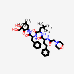 CC(C)CC(NC(=O)C(Cc1ccccc1)NC(=O)C(CC(C)(C)C)NC(=O)C(CCc1ccccc1)NC(=O)CN1CCOCC1)C(=O)C(C)(O)CO